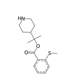 CSc1ccccc1C(=O)OC(C)(C)C1CCNCC1